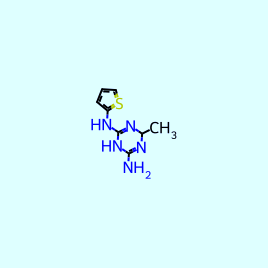 CC1N=C(N)NC(Nc2cccs2)=N1